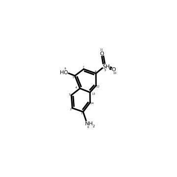 Nc1ccc2c(O)cc([SH](=O)=O)cc2c1